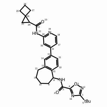 CC(C)(C)c1noc(C(=O)NC2CCCCc3cc(-c4ccnc(NC(=O)C5CC56CCC6)c4)ccc32)n1